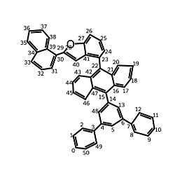 c1ccc(-c2cc(-c3ccccc3)cc(-c3c4ccccc4c(-c4cccc5oc(-c6cccc7ccccc67)cc45)c4ccccc34)c2)cc1